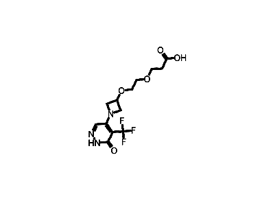 O=C(O)CCOCCOC1CN(c2cn[nH]c(=O)c2C(F)(F)F)C1